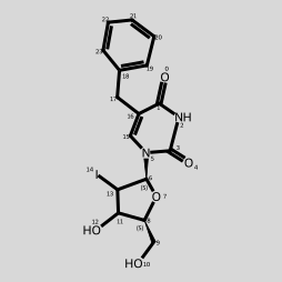 O=c1[nH]c(=O)n([C@H]2O[C@@H](CO)C(O)C2I)cc1Cc1ccccc1